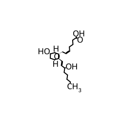 CCCCCC(O)/C=C/[C@@H]1[C@@H](C/C=C\CCCC(=O)O)[C@H]2O[C@@H]1C[C@@H]2O